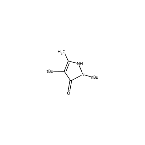 CCCCn1[nH]c(C)c(C(C)(C)C)c1=O